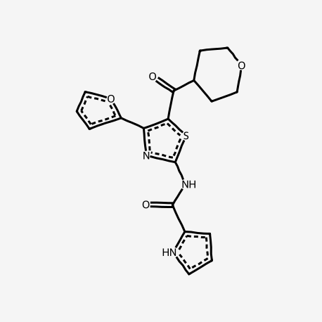 O=C(Nc1nc(-c2ccco2)c(C(=O)C2CCOCC2)s1)c1ccc[nH]1